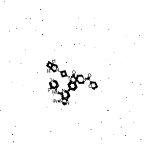 CC(C)n1cnc2cc(-c3ccc4c(c3)N([C@H]3C[C@@H](N5C[C@H]6CC[C@H]6C5)C3)C(=O)C43CCN(C(=O)[C@@H]4CCCO4)CC3)nc(Nc3ccncc3F)c21